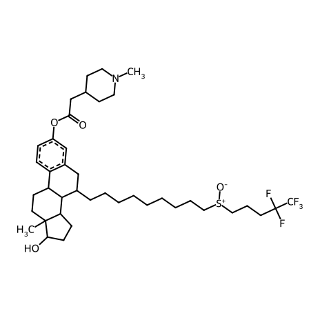 CN1CCC(CC(=O)Oc2ccc3c(c2)CC(CCCCCCCCC[S+]([O-])CCCC(F)(F)C(F)(F)F)C2C3CCC3(C)C(O)CCC23)CC1